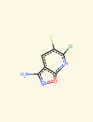 Nc1noc2nc(Cl)c(F)cc12